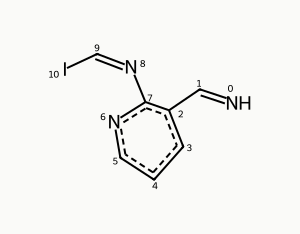 N=Cc1cccnc1/N=C\I